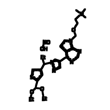 CCOC(OCC)c1cc(C(CC)n2cc(-c3ncnc4c3ccn4COCC[Si](C)(C)C)cn2)cs1.O=NO